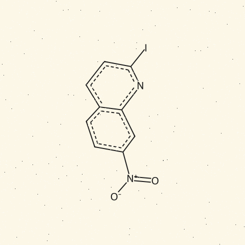 O=[N+]([O-])c1ccc2ccc(I)nc2c1